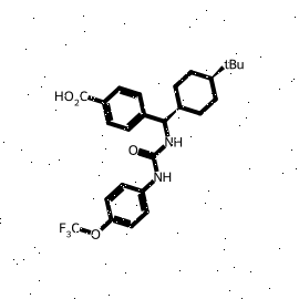 CC(C)(C)[C@H]1CC[C@@H](C(NC(=O)Nc2ccc(OC(F)(F)F)cc2)c2ccc(C(=O)O)cc2)CC1